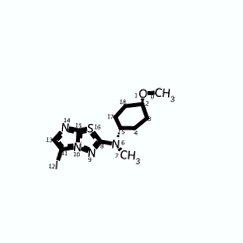 CO[C@H]1CC[C@H](N(C)c2nn3c(I)cnc3s2)CC1